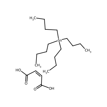 CCC[CH2][Sn]([CH2]CCC)([CH2]CCC)[CH2]CCC.O=C(O)/C=C\C(=O)O